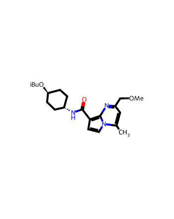 COCc1cc(C)n2ccc(C(=O)N[C@H]3CC[C@H](OCC(C)C)CC3)c2n1